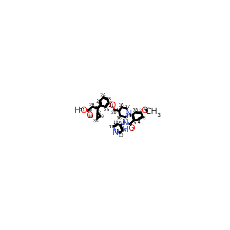 COc1ccc(C(=O)Nc2ccncc2)c(N2CCC(COc3cccc(C(CC(=O)O)C4CC4)c3)CC2)c1